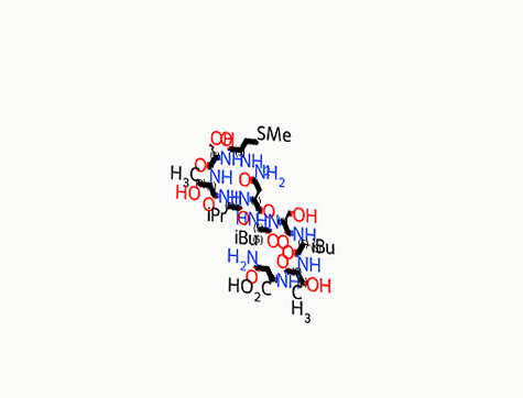 CC[C@H](C)[C@H](NC(=O)[C@H](CC(N)=O)NC(=O)[C@@H](NC(=O)[C@@H](NC(=O)[C@H](CO)NC(=O)[C@@H](N)CCSC)[C@@H](C)O)C(C)C)C(=O)N[C@@H](CO)C(=O)N[C@H](C(=O)N[C@H](C(=O)N[C@@H](CC(N)=O)C(=O)O)[C@@H](C)O)[C@@H](C)CC